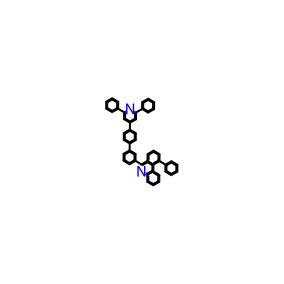 c1ccc(-c2cc(-c3ccc(-c4cccc(-c5nc6ccccc6c6c(-c7ccccc7)cccc56)c4)cc3)cc(-c3ccccc3)n2)cc1